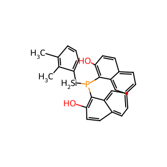 Cc1cccc([SiH2]P(c2c(O)ccc3ccccc23)c2c(O)ccc3ccccc23)c1C